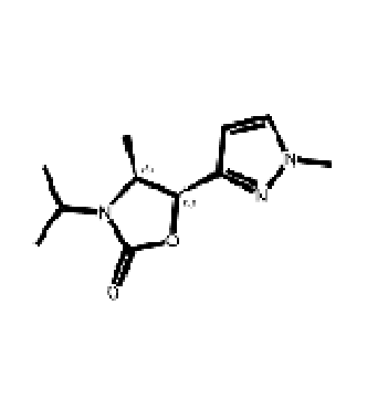 CC(C)N1C(=O)O[C@H](c2ccn(C)n2)[C@@H]1C